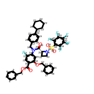 O=C(OCc1ccccc1)c1cc(F)c(N(Cc2ccc(C3CCCCC3)cc2)C(=O)[C@H]2CCN2S(=O)(=O)c2c(F)c(F)c(F)c(F)c2F)cc1OCc1ccccc1